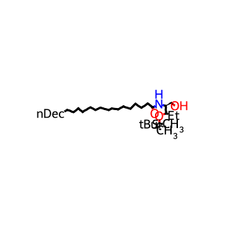 CCCCCCCCCCCCCCCCCCCCCCCCCC(=O)N[C@@H](CO)C(CC)O[Si](C)(C)C(C)(C)C